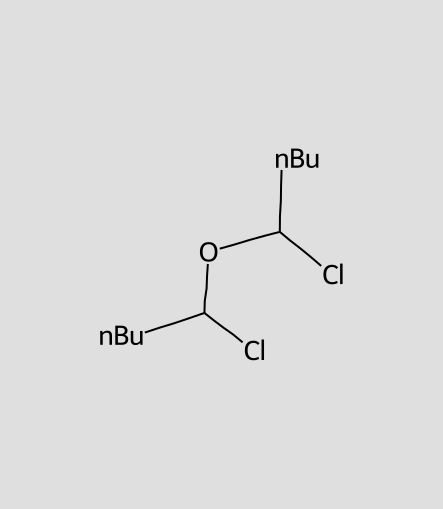 CCCCC(Cl)OC(Cl)CCCC